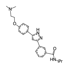 CC(C)NC(=O)c1cccc(-c2cc(-c3ccc(OCCN(C)C)cc3)[nH]n2)c1